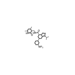 Cc1cc(C)c(CNC(=O)c2cc(-c3cccc(N)c3)cc3c2cnn3C(C)C)c(=O)[nH]1